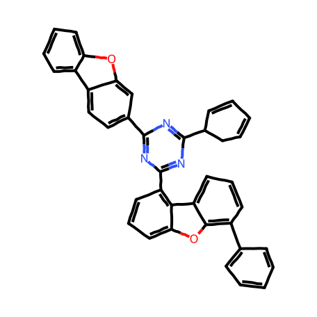 C1=CCC(c2nc(-c3ccc4c(c3)oc3ccccc34)nc(-c3cccc4oc5c(-c6ccccc6)cccc5c34)n2)C=C1